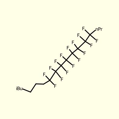 CCCC(F)(F)C(F)(F)C(F)(F)C(F)(F)C(F)(F)C(F)(F)C(F)(F)C(F)(F)CCCC(C)CC